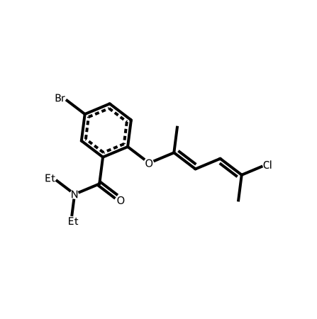 CCN(CC)C(=O)c1cc(Br)ccc1O/C(C)=C/C=C(\C)Cl